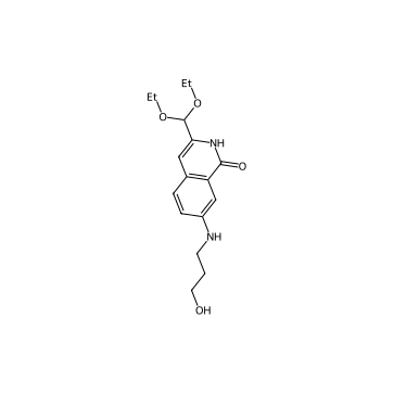 CCOC(OCC)c1cc2ccc(NCCCO)cc2c(=O)[nH]1